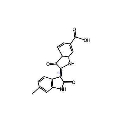 Cc1ccc2c(c1)NC(=O)/C2=C1\NC2C=C(C(=O)O)C=CC2C1=O